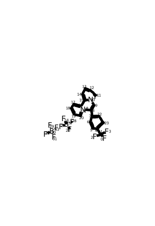 FC(F)(F)c1ccc(-c2c[n+]3ccccc3c3cccc[n+]23)cc1.F[B-](F)(F)F.F[B-](F)(F)F